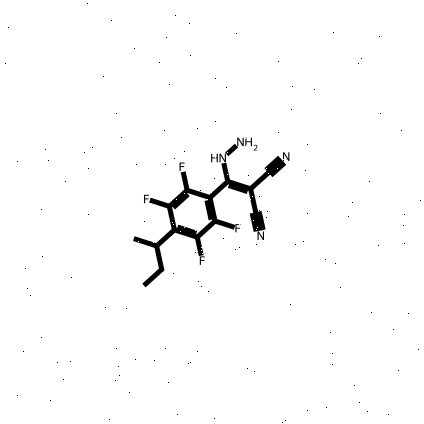 CCC(C)c1c(F)c(F)c(C(NN)=C(C#N)C#N)c(F)c1F